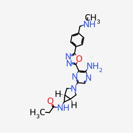 CCC(=O)NC1[C@H]2CN(c3cnc(N)c(-c4nnc(-c5ccc(CNC)cc5)o4)n3)C[C@@H]12